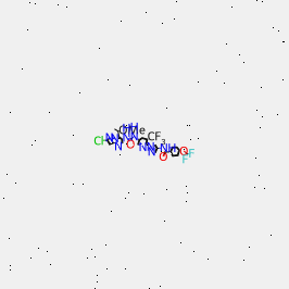 CO[C@@H](C)c1c(NC(=O)Nc2cnc(-n3cc(NC(=O)c4ccc(OC(F)F)cc4)cn3)c(C(F)(F)F)c2)cnc2cc(Cl)nn12